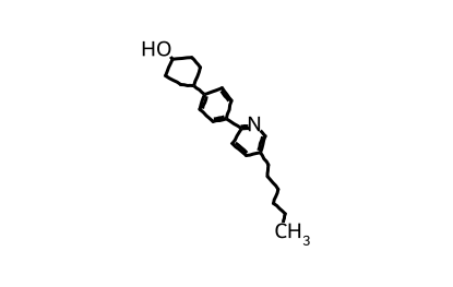 CCCCCCc1ccc(-c2ccc(C3CCC(O)CC3)cc2)nc1